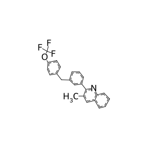 Cc1cc2ccccc2nc1-c1cccc(Cc2ccc(OC(F)(F)F)cc2)c1